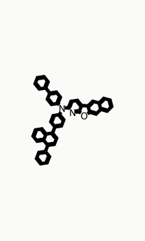 c1ccc(-c2ccc(N(c3ccc(-c4ccc(-c5ccccc5)c5ccccc45)cc3)c3ccc4c(n3)oc3cc5ccccc5cc34)cc2)cc1